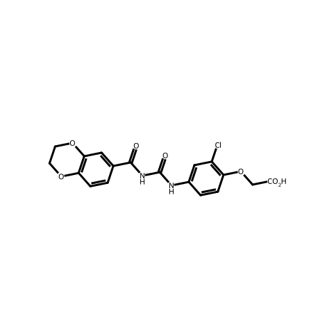 O=C(O)COc1ccc(NC(=O)NC(=O)c2ccc3c(c2)OCCO3)cc1Cl